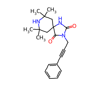 CC1(C)CC2(CC(C)(C)N1)NC(=O)N(CC#Cc1ccccc1)C2=O